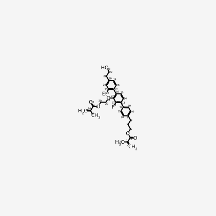 C=C(C)C(=O)OCCCc1ccc(-c2ccc(-c3ccc(CCO)cc3CC)c(OCCOC(=O)C(=C)C)c2F)cc1